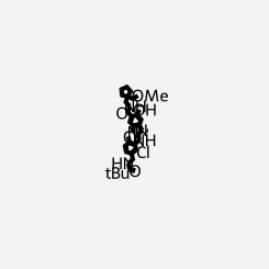 COCC1(CNC(=O)c2cc3nc(Nc4c(Cl)ccc(CNC(=O)C(C)(C)C)c4Cl)n(C)c3cc2O)CCCC1